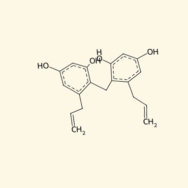 C=CCc1cc(O)cc(O)c1Cc1c(O)cc(O)cc1CC=C